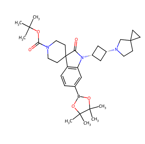 CC(C)(C)OC(=O)N1CCC2(CC1)C(=O)N([C@H]1C[C@@H](N3CCC4(CC4)C3)C1)c1cc(B3OC(C)(C)C(C)(C)O3)ccc12